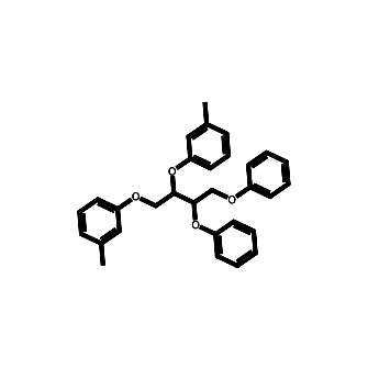 Cc1cccc(OCC(Oc2cccc(C)c2)C(COc2ccccc2)Oc2ccccc2)c1